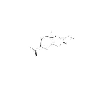 C=C(C)C1CCC2(C)SP(=S)(OC)OC2C1